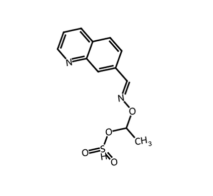 CC(ON=Cc1ccc2cccnc2c1)O[SH](=O)=O